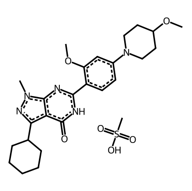 COc1cc(N2CCC(OC)CC2)ccc1-c1nc2c(c(C3CCCCC3)nn2C)c(=O)[nH]1.CS(=O)(=O)O